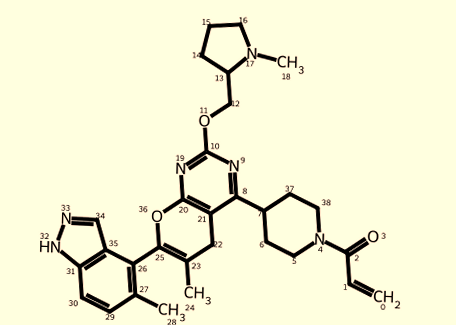 C=CC(=O)N1CCC(c2nc(OCC3CCCN3C)nc3c2CC(C)=C(c2c(C)ccc4[nH]ncc24)O3)CC1